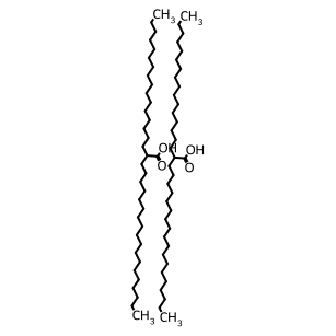 CCCCCCCCCCCCCCCCCCC(CCCCCCCCCCCCCCCC)C(=O)O.CCCCCCCCCCCCCCCCCCC(CCCCCCCCCCCCCCCC)C(=O)O